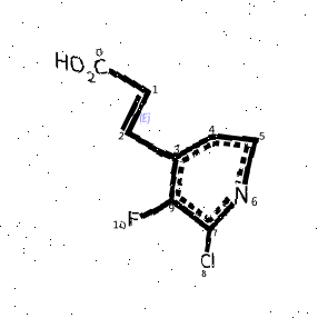 O=C(O)/C=C/c1ccnc(Cl)c1F